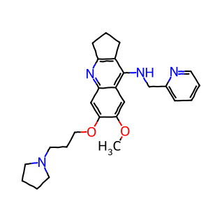 COc1cc2c(NCc3ccccn3)c3c(nc2cc1OCCCN1CCCC1)CCC3